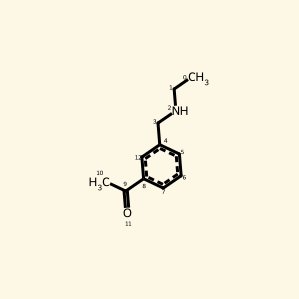 CCNCc1cccc(C(C)=O)c1